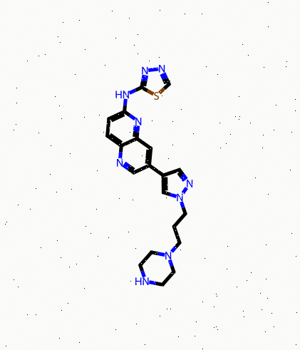 c1nnc(Nc2ccc3ncc(-c4cnn(CCCN5CCNCC5)c4)cc3n2)s1